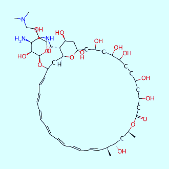 C[C@H]1C[C@H](O)[C@@H](C)/C=C/C=C/C=C/C=C/C=C/C=C/C=C/C(O[C@@H]2OC[C@@H](O)[C@H](N)[C@@H]2O)C[C@@H]2OC(O)(CC(O)CC(O)C(O)CCC(O)CC(O)CC(=O)O1)C[C@H](O)[C@H]2C(=O)NCCCN(C)C